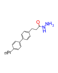 CCCc1ccc(-c2ccc(CCC(=O)NN)cc2)cc1